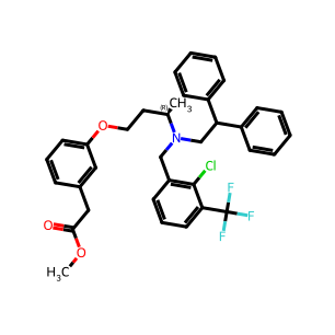 COC(=O)Cc1cccc(OCC[C@@H](C)N(Cc2cccc(C(F)(F)F)c2Cl)CC(c2ccccc2)c2ccccc2)c1